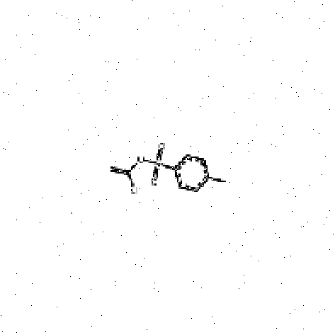 C=C(Cl)OS(=O)(=O)c1ccc(C)cc1